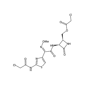 CON=C(C(=O)N[C@@H]1C(=O)N[C@@H]1COC(=O)CCl)c1csc(NC(=O)CCl)n1